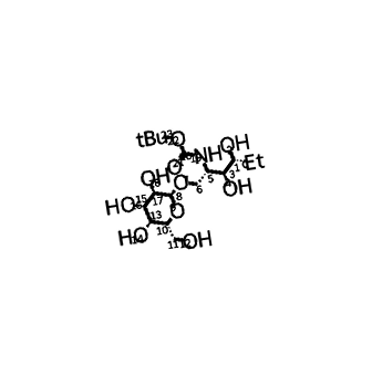 CC[C@@H](O)[C@@H](O)[C@H](CO[C@H]1O[C@H](CO)[C@H](O)[C@H](O)[C@H]1O)NC(=O)OC(C)(C)C